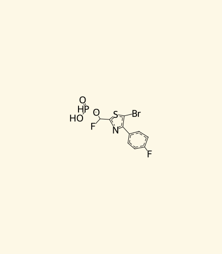 O=[PH](O)OC(F)c1nc(-c2ccc(F)cc2)c(Br)s1